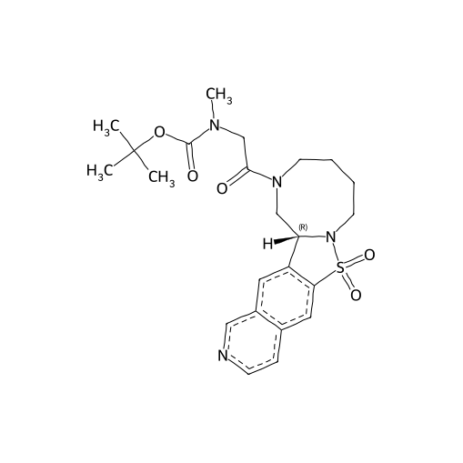 CN(CC(=O)N1CCCCN2[C@@H](C1)c1cc3cnccc3cc1S2(=O)=O)C(=O)OC(C)(C)C